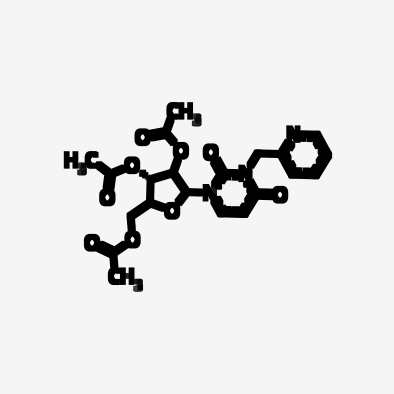 CC(=O)OCC1OC(n2ccc(=O)n(Cc3ccccn3)c2=O)C(OC(C)=O)[C@H]1OC(C)=O